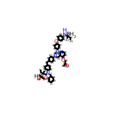 BC(C)(CC)CN(Cc1ccccc1OCC1CO1)c1ccc(Cc2ccc(N(CNc3ccc(Oc4ccc(NC(B)(C)CC)cc4)cc3)Cc3ccccc3OCC3CO3)cc2)cc1